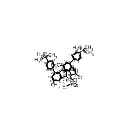 CCC1=Cc2c(-c3ccc([Si](C)(C)C)cc3)cc(C)cc2[CH]1[Zr]([Cl])([Cl])([CH]1C(C)=Cc2c(-c3ccc([Si](C)(C)C)cc3)cc(C)cc21)[SiH](CC)CC